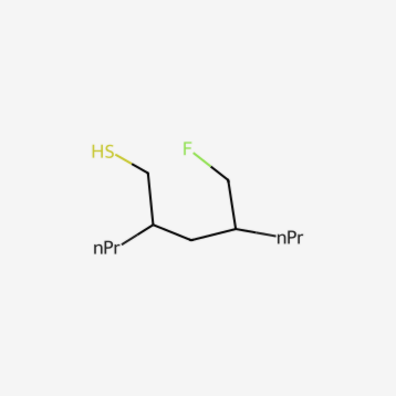 CCCC(CF)CC(CS)CCC